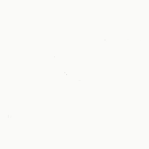 CN(C(=O)c1ccc(OCC2CC2)cc1)[C@H]1CCc2cc(Br)ccc2C1